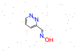 ON=Cc1cccnn1